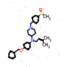 CC(C)=CCN(c1ccc(OCc2ccccc2)cc1)C1CCN(Cc2ccc([S+](C)[O-])cc2)CC1